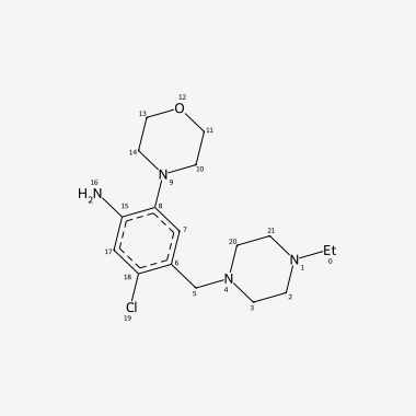 CCN1CCN(Cc2cc(N3CCOCC3)c(N)cc2Cl)CC1